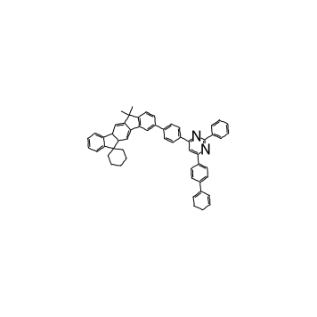 CC1(C)C2=CC3c4ccccc4C4(CCCCC4)C3C=C2c2cc(-c3ccc(-c4cc(-c5ccc(C6=CCCC=C6)cc5)nc(-c5ccccc5)n4)cc3)ccc21